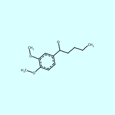 CCCCC([O])c1ccc(OC)c(OC)c1